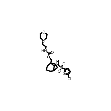 O=C(NCCN1CCOCC1)OCC12CCCC(CC1)C2NS(=O)(=O)c1ccc(Cl)s1